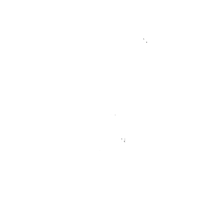 O=S(=O)(c1ccc(Cl)cc1)N1c2ccccc2CCC1c1ccc(CN2CCSCC2)cc1